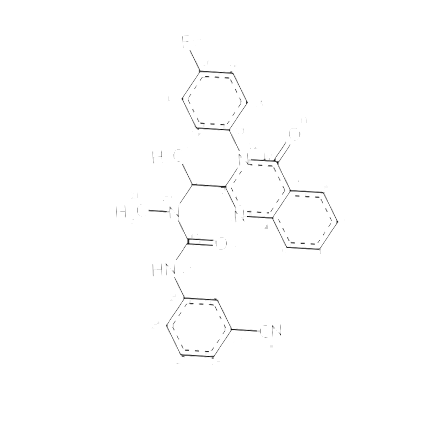 CC(c1nc2ccccc2c(=O)n1-c1ccc(F)cc1)N(C)C(=O)Nc1cccc(C#N)c1